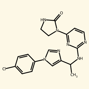 CC(Nc1nccc(N2CCNC2=O)n1)c1cn(-c2ccc(Cl)cc2)cn1